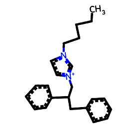 CCCCCn1cc[n+](CC(Cc2ccccc2)c2ccccc2)c1